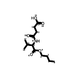 CCCCOC(=O)C(NC(=O)CCC(=O)O)C(C)C